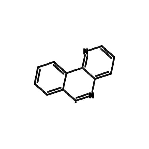 [c]1nc2cccnc2c2ccccc12